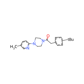 Cc1ccc(N2CCN(C(=O)Cc3ccc(C(C)(C)C)cc3)CC2)nc1